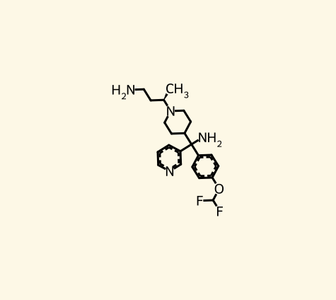 C[C@H](CCN)N1CCC(C(N)(c2ccc(OC(F)F)cc2)c2cccnc2)CC1